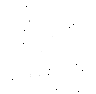 CCOC(=O)c1ccc(C(C)Cl)o1